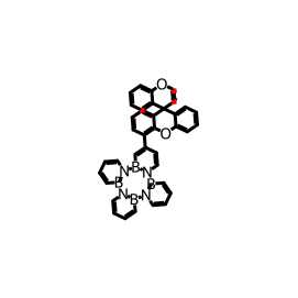 C1=CB2N(C=C1)B1C=CC=CN1B1C=C(c3cccc4c3Oc3ccccc3C43c4ccccc4Oc4ccccc43)C=CN1B1C=CC=CN21